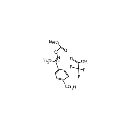 COC(=O)O/N=C(\N)c1ccc(C(=O)O)cc1.O=C(O)C(F)(F)F